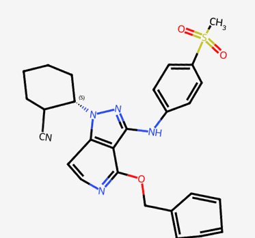 CS(=O)(=O)c1ccc(Nc2nn([C@H]3CCCCC3C#N)c3ccnc(OCc4ccccc4)c23)cc1